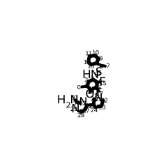 Cc1cc(NSC(C)c2ccccc2)c(F)c(F)c1Oc1ncccc1-c1ccnc(N)n1